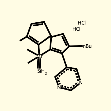 CCCCC1=CC[C]([Zr]([CH3])([CH3])(=[SiH2])[C]2=C(C)C=CC2)=C1c1cncnc1.Cl.Cl